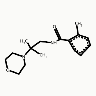 Cc1ccccc1C(=O)NCC(C)(C)N1CCOCC1